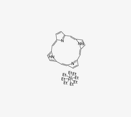 C1=Cc2cc3ccc(cc4nc(cc5ccc(cc1n2)[nH]5)C=C4)[nH]3.C[CH2][Zn]([CH2]C)([CH2]C)([CH2]C)([CH2]C)([CH2]C)([CH2]C)[CH2]C